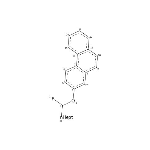 CCCCCCCC(F)Oc1ccc2c(ccc3ccccc32)c1